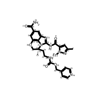 CCn1nc(C)cc1C(=O)Nc1nc2cc(C(N)=O)cc3c2n1[C@@](C)(CCNC(=O)OCc1ccncc1)CO3